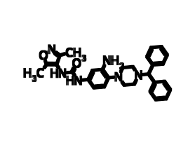 Cc1noc(C)c1NC(=O)Nc1ccc(N2CCN(C(c3ccccc3)c3ccccc3)CC2)c(N)c1